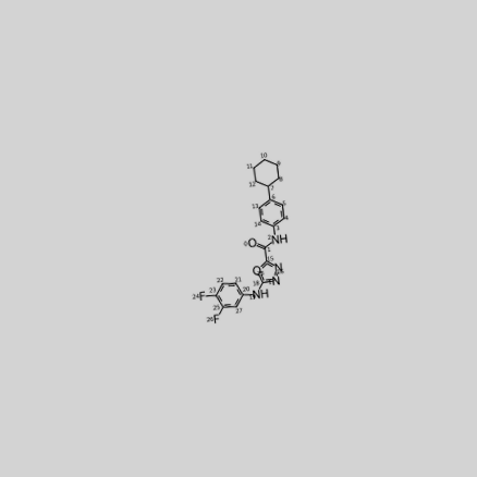 O=C(Nc1ccc(C2CCCCC2)cc1)c1nnc(Nc2ccc(F)c(F)c2)o1